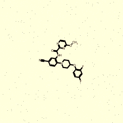 COc1ccnc(C(=O)Nc2cc(C#N)ccc2N2CCC(Oc3ccc(F)cc3F)CC2)n1